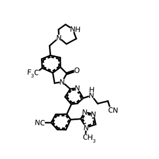 Cn1cnnc1-c1ccc(C#N)cc1-c1cc(NCCC#N)nc(N2Cc3c(cc(CN4CCNCC4)cc3C(F)(F)F)C2=O)c1